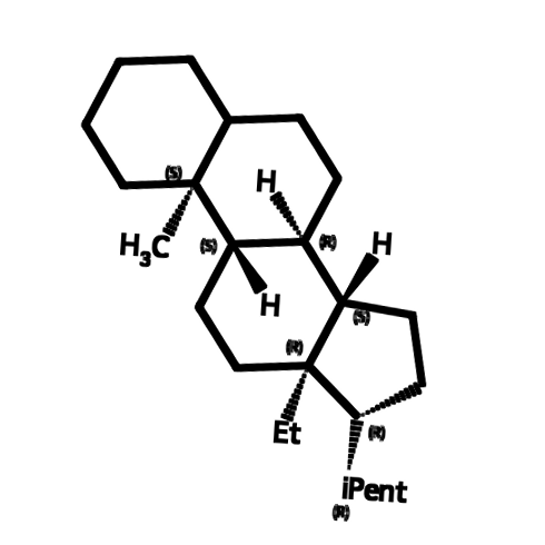 CCC[C@@H](C)[C@H]1CC[C@H]2[C@@H]3CCC4CCCC[C@]4(C)[C@H]3CC[C@]12CC